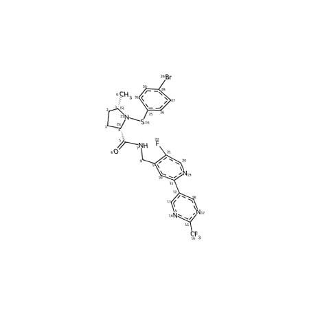 C[C@H]1CC[C@@H](C(=O)NCc2cc(-c3cnc(C(F)(F)F)nc3)ncc2F)N1Sc1ccc(Br)cc1